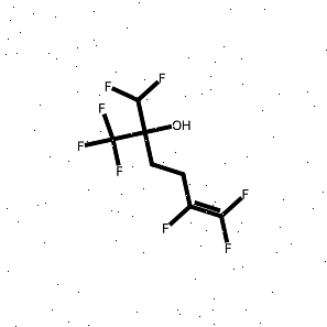 OC(CCC(F)=C(F)F)(C(F)F)C(F)(F)F